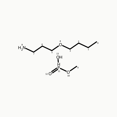 CCCCOCCCN.CO[PH](=O)O